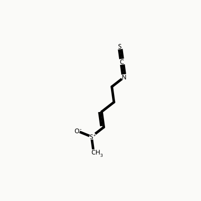 C[S+]([O-])C=CCCN=C=S